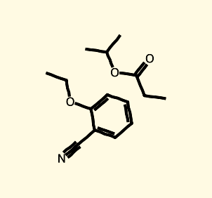 CCC(=O)OC(C)C.CCOc1ccccc1C#N